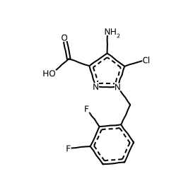 Nc1c(C(=O)O)nn(Cc2cccc(F)c2F)c1Cl